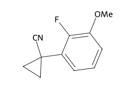 COc1cccc(C2(C#N)CC2)c1F